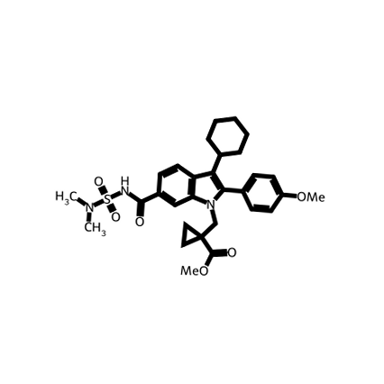 COC(=O)C1(Cn2c(-c3ccc(OC)cc3)c(C3CCCCC3)c3ccc(C(=O)NS(=O)(=O)N(C)C)cc32)CC1